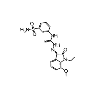 CCN1C(=O)C(=NNC(=S)Nc2cccc(S(N)(=O)=O)c2)c2cccc(OC)c21